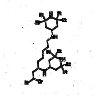 CCC1(CC)CC(NCCCCCC(CC(Br)Br)NC2CC(CC)(CC)NC(CC)(CC)C2)CC(CC)(CC)N1